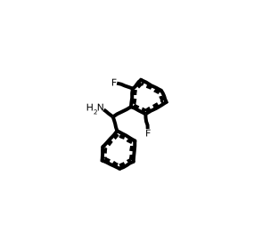 NC(c1ccccc1)c1c(F)cccc1F